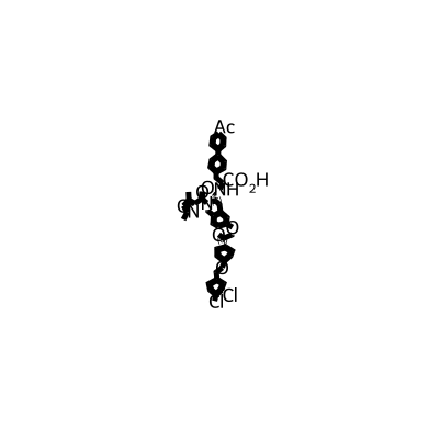 CC(=O)c1ccc(-c2ccc(CC(NC(=O)[C@@H]3Cc4cc5c(cc4CN3C(=O)c3nc(C)oc3C)O[C@@H](c3ccc(OCc4ccc(Cl)c(Cl)c4)cc3)CO5)C(=O)O)cc2)cc1